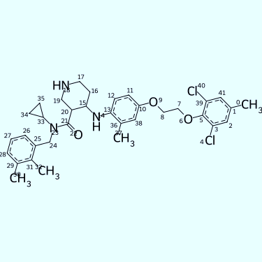 Cc1cc(Cl)c(OCCOc2ccc(NC3CCNCC3C(=O)N(Cc3cccc(C)c3C)C3CC3)c(C)c2)c(Cl)c1